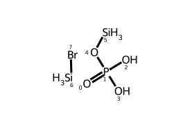 O=P(O)(O)O[SiH3].[SiH3]Br